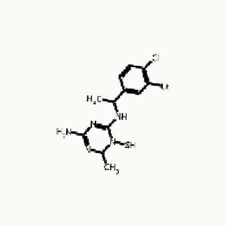 CCc1cc(C(C)NC2=NC(N)=NC(C)N2S)ccc1Cl